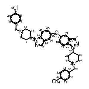 Clc1ccc(CN2CCC(n3ncc4cc(Oc5ccc6c(cnn6C6CCN(Cc7ccc(Cl)cc7)CC6)c5)ccc43)CC2)cc1